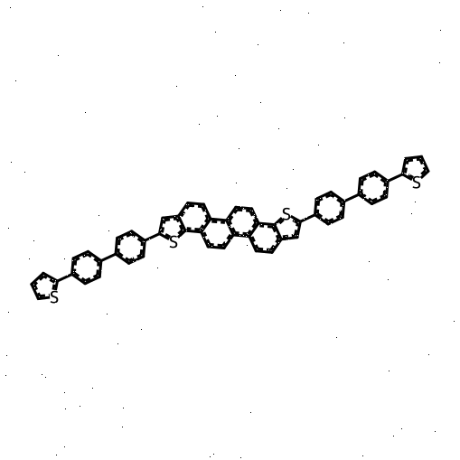 c1csc(-c2ccc(-c3ccc(-c4cc5ccc6c7ccc8c(ccc9cc(-c%10ccc(-c%11ccc(-c%12cccs%12)cc%11)cc%10)sc98)c7ccc6c5s4)cc3)cc2)c1